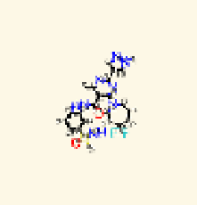 Cc1nc(-c2cnn(C)c2)nc(N2CCCC(F)(F)CC2)c1C(=O)Nc1cccc([S@](C)(=N)=O)c1